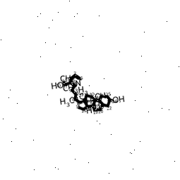 C[C@H](CCc1ncccc1C(C)(C)O)[C@H]1CC[C@H]2[C@@H]3CC=C4C[C@@H](O)CC[C@]4(C)[C@H]3CC[C@]12C